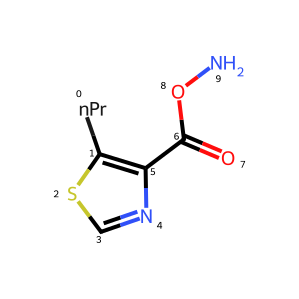 CCCc1scnc1C(=O)ON